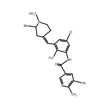 Cc1ncc(C(=O)Nc2cc(Cl)cc(C=C3CCN(C(=O)O)C(C(C)(C)C)C3)c2C)cc1C#N